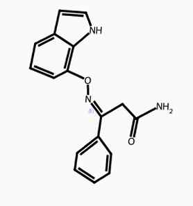 NC(=O)C/C(=N\Oc1cccc2cc[nH]c12)c1ccccc1